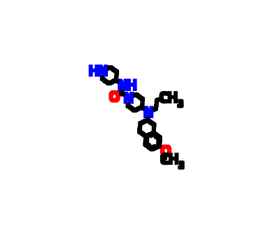 CCCN(C1CCN(C(=O)NC2CCNCC2)CC1)C1CCc2ccc(OC)cc2C1